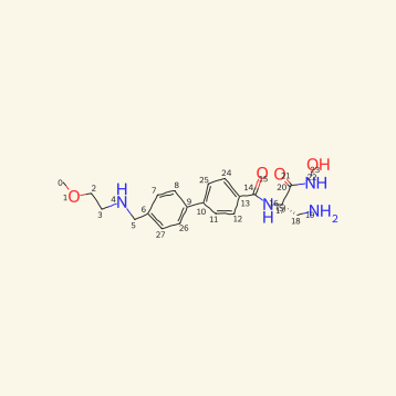 COCCNCc1ccc(-c2ccc(C(=O)N[C@@H](CN)C(=O)NO)cc2)cc1